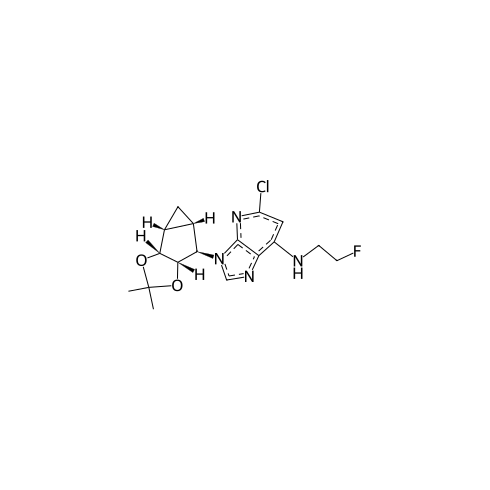 CC1(C)O[C@@H]2[C@@H]3C[C@@H]3[C@@H](n3cnc4c(NCCF)cc(Cl)nc43)[C@@H]2O1